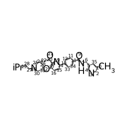 Cc1cncc(CNC(=O)c2ccc(-c3ccc4c(n3)C(=O)CC3(CCN(CCC(C)C)CC3)O4)cc2)c1